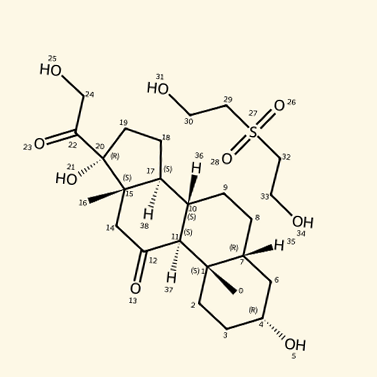 C[C@]12CC[C@@H](O)C[C@H]1CC[C@@H]1[C@@H]2C(=O)C[C@@]2(C)[C@H]1CC[C@]2(O)C(=O)CO.O=S(=O)(CCO)CCO